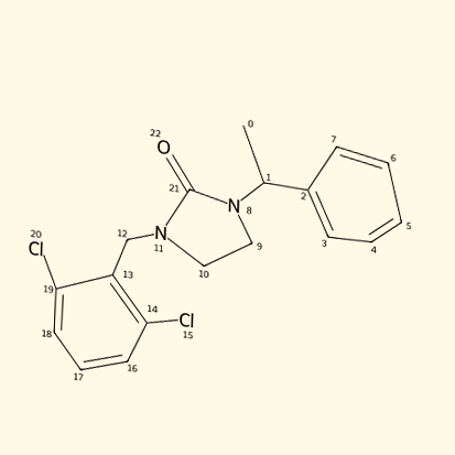 CC(c1ccccc1)N1CCN(Cc2c(Cl)cccc2Cl)C1=O